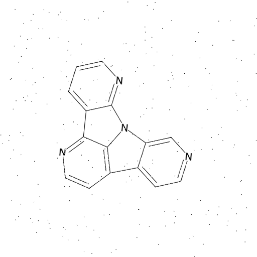 c1cnc2c(c1)c1nccc3c4ccncc4n2c31